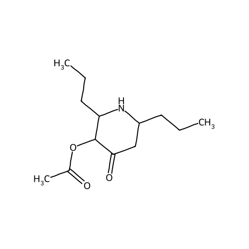 CCCC1CC(=O)C(OC(C)=O)C(CCC)N1